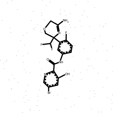 NC1=NC(c2cc(NC(=O)c3ncc(Br)cc3O)ccc2F)(C(F)F)COC1